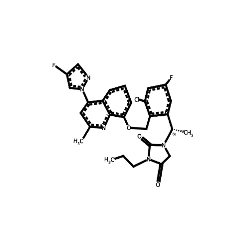 CCCN1C(=O)CN([C@@H](C)c2cc(F)cc(Cl)c2COc2cccc3c(-n4cc(F)cn4)cc(C)nc23)C1=O